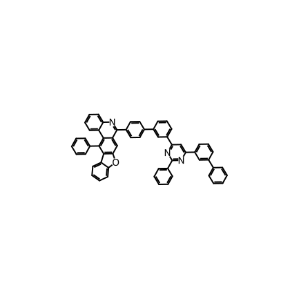 c1ccc(-c2cccc(-c3cc(-c4cccc(-c5ccc(-c6nc7ccccc7c7c(-c8ccccc8)c8c(cc67)oc6ccccc68)cc5)c4)nc(-c4ccccc4)n3)c2)cc1